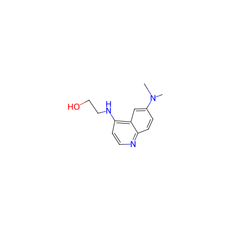 CN(C)c1ccc2nccc(NCCO)c2c1